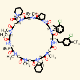 CC[C@H](C)[C@@H]1NC(=O)[C@H](C)N(C)C(=O)C[C@@H](C(=O)N2CCCCC2)N(C)C(=O)[C@H](C(C)C)N(C)C(=O)C2(CCCC2)NC(=O)[C@H](Cc2ccccc2Cl)N(C)C(=O)[C@H](CCc2ccc(C(F)(F)F)c(Cl)c2)NC(=O)CN(C)C(=O)[C@H](CC2CCCCC2)N(C)C(=O)CN(C)C(=O)CN(C)C1=O